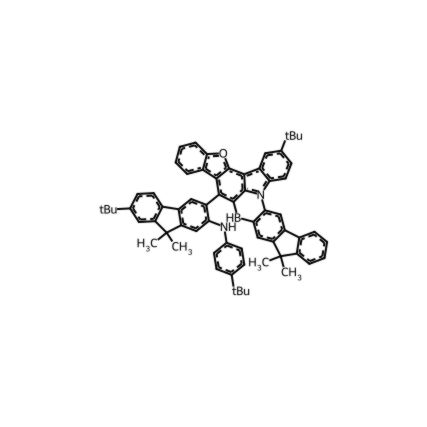 CC(C)(C)c1ccc(Nc2cc3c(cc2-c2c4c5c(c6cc(C(C)(C)C)ccc6n5-c5cc6c(cc5B4)C(C)(C)c4ccccc4-6)c4oc5ccccc5c24)-c2ccc(C(C)(C)C)cc2C3(C)C)cc1